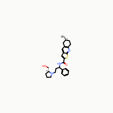 CC(C)(C)[C@H]1CCc2nc3sc(C(=O)NC(CCN4CCC[C@@H]4CO)c4ccccc4)cc3cc2C1